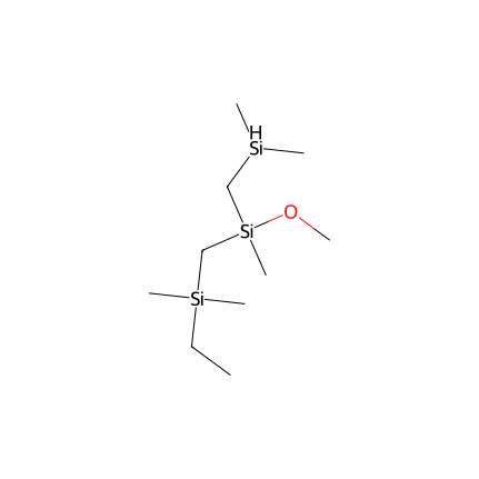 CC[Si](C)(C)C[Si](C)(C[SiH](C)C)OC